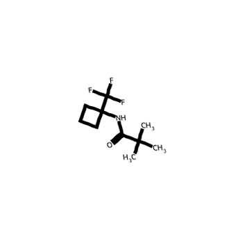 CC(C)(C)C(=O)NC1(C(F)(F)F)CCC1